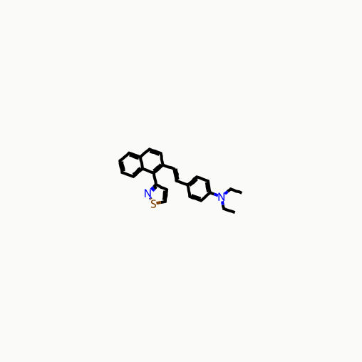 CCN(CC)c1ccc(C=Cc2ccc3ccccc3c2-c2ccsn2)cc1